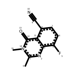 Cc1nc2c(F)ccc(C#N)c2c(=O)n1C